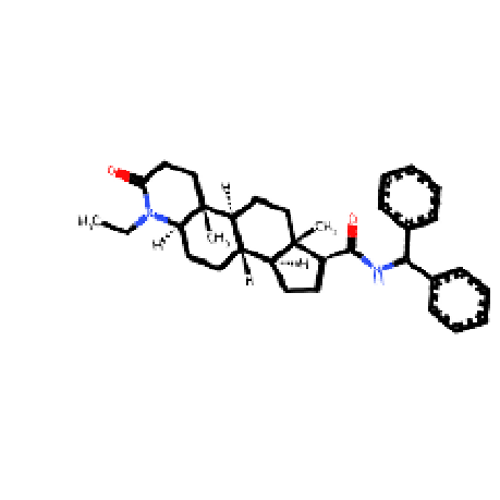 CCN1C(=O)CC[C@]2(C)[C@H]3CC[C@]4(C)[C@@H](C(=O)NC(c5ccccc5)c5ccccc5)CC[C@H]4[C@@H]3CC[C@@H]12